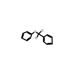 ClC(Cl)(Oc1c[c]ccc1)c1ccccc1